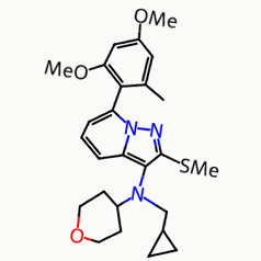 COc1cc(C)c(-c2cccc3c(N(CC4CC4)C4CCOCC4)c(SC)nn23)c(OC)c1